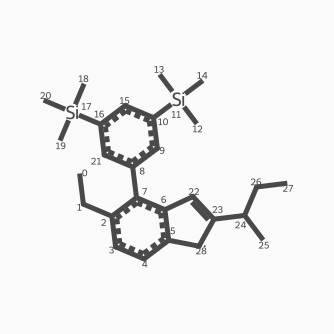 CCc1ccc2c(c1-c1cc([Si](C)(C)C)cc([Si](C)(C)C)c1)C=C(C(C)CC)[CH]2